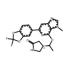 CC(Oc1nc(-c2ccc3c(c2)OC(F)(F)O3)cc2ncn(C)c12)[C@H]1CNC(=O)C1